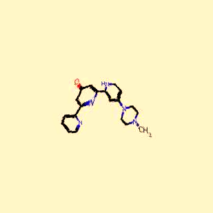 CN1CCN(C2=CCNC(C3=CC(=O)CC(c4ccccn4)=N3)=C2)CC1